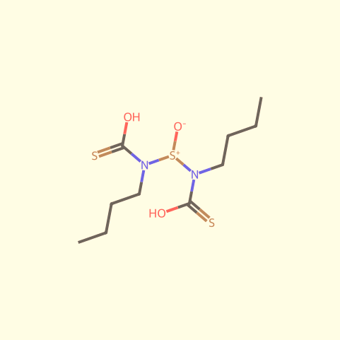 CCCCN(C(O)=S)[S+]([O-])N(CCCC)C(O)=S